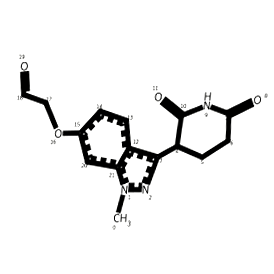 Cn1nc(C2CCC(=O)NC2=O)c2ccc(OCC=O)cc21